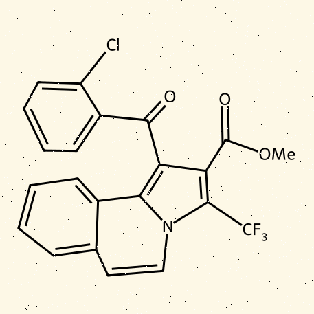 COC(=O)c1c(C(=O)c2ccccc2Cl)c2c3ccccc3ccn2c1C(F)(F)F